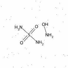 NO.NS(N)(=O)=O